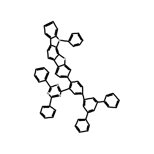 c1ccc(-c2cc(-c3ccccc3)cc(-c3ccc(-c4ccc5c(c4)sc4c5ccc5c6ccccc6n(-c6ccccc6)c54)c(-c4nc(-c5ccccc5)nc(-c5ccccc5)n4)c3)c2)cc1